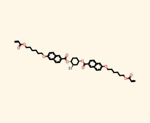 C=CC(=O)OCCCCCCOc1ccc2cc(C(=O)O[C@@H]3CC[C@@H](OC(=O)c4ccc5cc(OCCCCCCOC(=O)C=C)ccc5c4)[C@H](CC)C3)ccc2c1